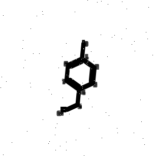 [CH2]c1ccc(CF)cc1